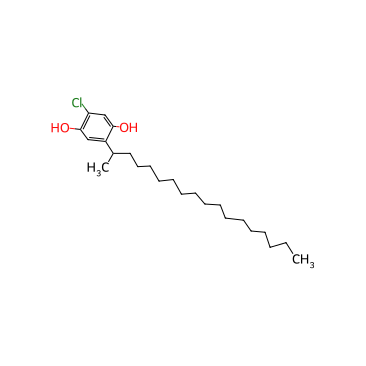 CCCCCCCCCCCCCCCCC(C)c1cc(O)c(Cl)cc1O